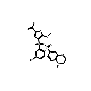 CSc1sc(C(=N)N)cc1S(=O)(=NS(=O)(=O)c1ccc2c(c1)OCCN2C)c1cccc(Br)c1